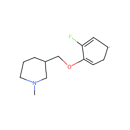 CN1CCCC(COC2=CC[CH]C=C2F)C1